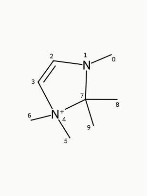 CN1C=C[N+](C)(C)C1(C)C